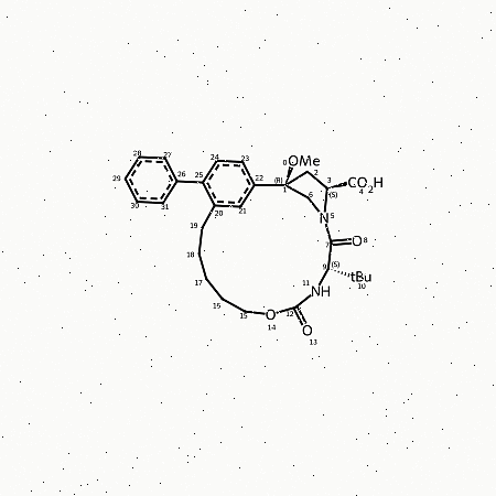 CO[C@@]12C[C@@H](C(=O)O)N(C1)C(=O)[C@H](C(C)(C)C)NC(=O)OCCCCCc1cc2ccc1-c1ccccc1